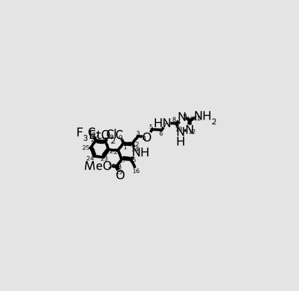 CCOC(=O)C1=C(COCCNc2nc(N)n[nH]2)NC(C)=C(C(=O)OC)C1c1cccc(C(F)(F)F)c1Cl